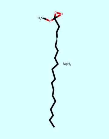 CCCCCCCCCCCCCCCCCC1(O[SiH3])OO1.[MgH2]